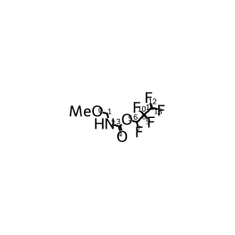 COCNC(=O)OC(F)C(F)(F)C(F)F